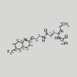 C=C/N=C(\C=C\C(=O)NCCOc1ccc2cc(C(F)(F)F)ccc2n1)NC(=O)C(C)C